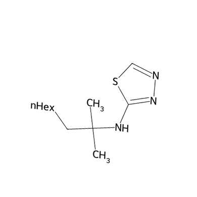 CCCCCCCC(C)(C)Nc1nncs1